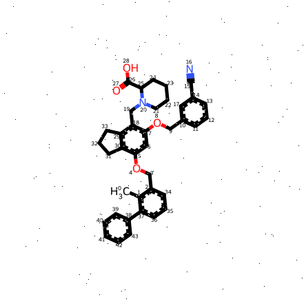 Cc1c(COc2cc(OCc3cccc(C#N)c3)c(CN3CCCCC3C(=O)O)c3c2CCC3)cccc1-c1ccccc1